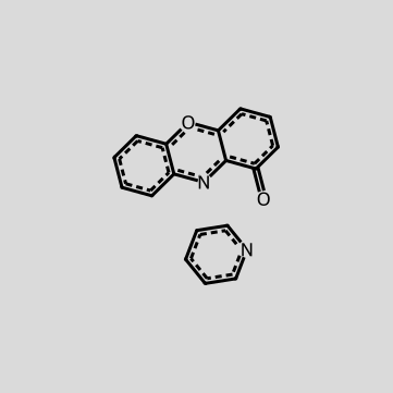 O=c1cccc2oc3ccccc3nc1-2.c1ccncc1